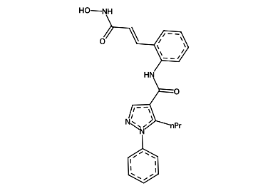 CCCc1c(C(=O)Nc2ccccc2/C=C/C(=O)NO)cnn1-c1ccccc1